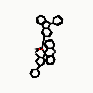 C1=CCC2Sc3ccccc3C3(C2=C1)C1C=C(C2=CC4C5=C(CCC=C5)N(C5C=CC=CC5)C4C=C2)C=CC1SC1CC(C2C=CCCC2)C=CC13